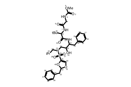 COC(=O)NCC(=O)NC(C(=O)NC(Cc1ccccc1)C(O)CN(CC(C)C)S(=O)(=O)C1=COC(Cc2ccccc2)O1)C(C)(C)C